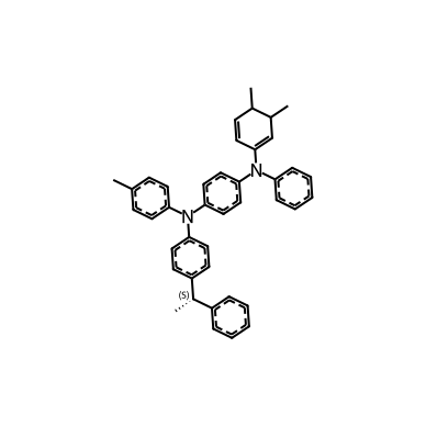 Cc1ccc(N(c2ccc([C@@H](C)c3ccccc3)cc2)c2ccc(N(C3=CC(C)C(C)C=C3)c3ccccc3)cc2)cc1